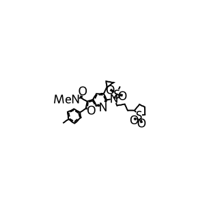 CNC(=O)c1c(-c2ccc(C)cc2)oc2nc(N(CCCC3CCCS3(=O)=O)S(C)(=O)=O)c(C3CC3)cc12